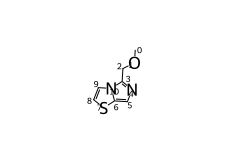 COCc1ncc2sccn12